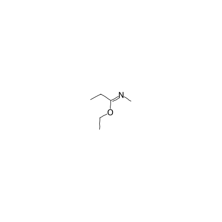 CCO/C(CC)=N\C